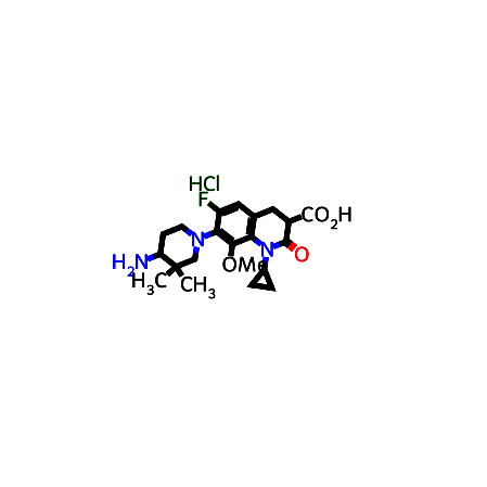 COc1c(N2CCC(N)C(C)(C)C2)c(F)cc2c1N(C1CC1)C(=O)C(C(=O)O)C2.Cl